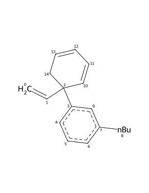 C=CC1(c2cccc(CCCC)c2)C=CC=CC1